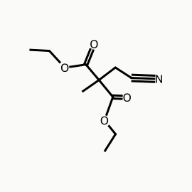 CCOC(=O)C(C)(CC#N)C(=O)OCC